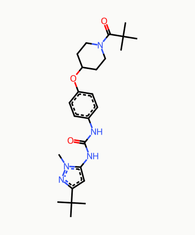 Cn1nc(C(C)(C)C)cc1NC(=O)Nc1ccc(OC2CCN(C(=O)C(C)(C)C)CC2)cc1